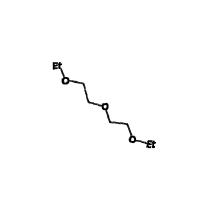 [CH2]COCCOCCOCC